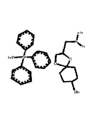 CC(=O)[O][Sn]([c]1ccccc1)([c]1ccccc1)[c]1ccccc1.CCCN(CC)CC1COC2(CCC(C(C)(C)C)CC2)O1